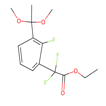 CCOC(=O)C(F)(F)c1cccc(C(C)(OC)OC)c1F